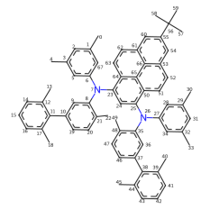 Cc1cc(C)cc(N(c2cc(-c3c(C)cccc3C)ccc2C)c2cc(N(c3cc(C)cc(C)c3)c3cc(-c4c(C)cccc4C)ccc3C)c3ccc4cc(C(C)(C)C)cc5ccc2c3c54)c1